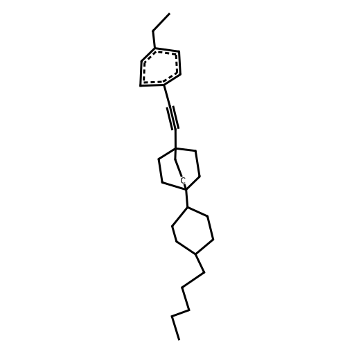 CCCCCC1CCC(C23CCC(C#Cc4ccc(CC)cc4)(CC2)CC3)CC1